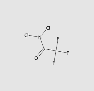 O=C(N(Cl)Cl)C(F)(F)F